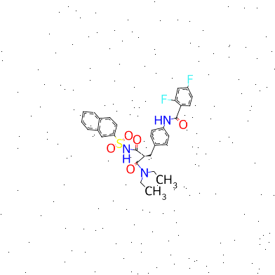 CCN(CC)C(=O)[C@H](Cc1ccc(NC(=O)c2ccc(F)cc2F)cc1)C(=O)NS(=O)(=O)c1ccc2ccccc2c1